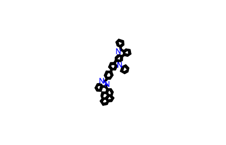 c1ccc(-c2nc3cc4c5ccc(-c6ccc(-c7nc(-c8ccc9ccc%10cccc%11ccc8c9c%10%11)c8ccccc8n7)cc6)cc5n(-c5ccccc5)c4cc3c3ccccc23)cc1